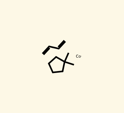 C=CC=C.CC1(C)CCCC1.[Co]